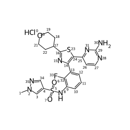 Cl.Cn1cc(S(=O)(=O)Nc2cccc(-c3nc(C4CCOCC4)sc3-c3ccnc(N)n3)c2F)cn1